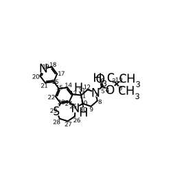 CC(C)(C)OC(=O)N1CC[C@H]2[C@@H](C1)c1cc(-c3ccncc3)cc3c1N2CCCS3